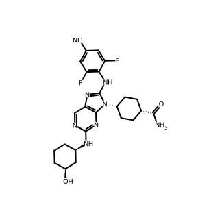 N#Cc1cc(F)c(Nc2nc3cnc(N[C@@H]4CCC[C@H](O)C4)nc3n2[C@H]2CC[C@@H](C(N)=O)CC2)c(F)c1